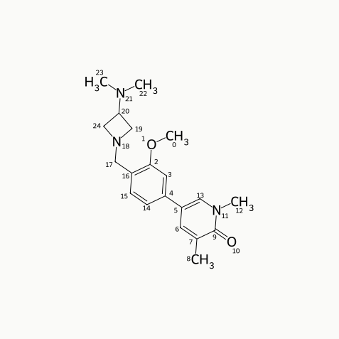 COc1cc(-c2cc(C)c(=O)n(C)c2)ccc1CN1CC(N(C)C)C1